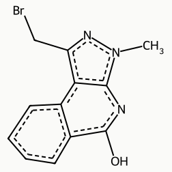 Cn1nc(CBr)c2c3ccccc3c(O)nc21